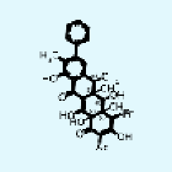 CC(=O)C1=C(O)C(C(C)C)[C@@]2(C)[C@H](O)[C@]3(C)C(=C(O)[C@@]2(O)C1=O)C(=O)c1c(cc(-c2ccccc2)c(C)c1O)[C@H]3C